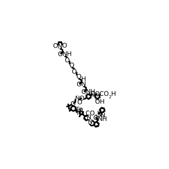 CCC1(Cn2ncc(-c3ccc(N4CCc5cccc(C(=O)Nc6nc7ccccc7s6)c5C4)nc3C(=O)O)c2C)CC2(C)CC(C)(C)CC(OCCN(C)C(=O)OCc3ccc(O[C@H]4C[C@@H](O)C[C@@H](C(=O)O)O4)c(NC(=O)CCNC(=O)CCOCCOCCOCCOCCNC(=O)CCN4C(=O)C=CC4=O)c3)(C2)C1